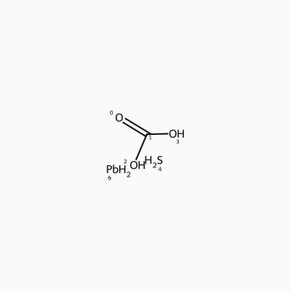 O=C(O)O.S.[PbH2]